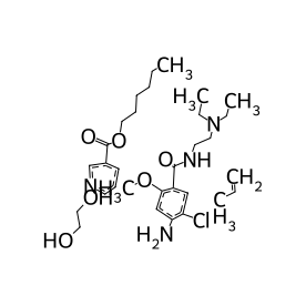 C=CC.CCCCCCOC(=O)c1cccnc1.CCN(CC)CCNC(=O)c1cc(Cl)c(N)cc1OC.OCCO